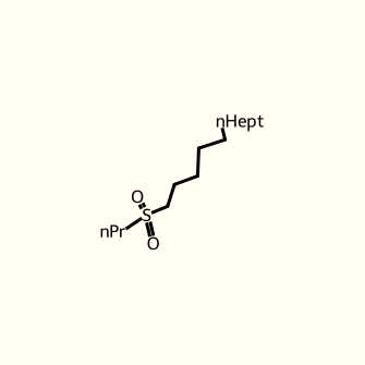 CCCCCCCCCCCCS(=O)(=O)CCC